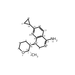 C[C@@H]1OCCC[C@H]1N1CN=C(N)c2ccc(C3CC3)nc21